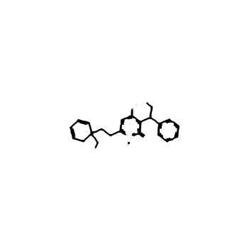 CCC(c1ccccc1)c1c(O)cc(CCC2(CC)C=CC=CC2)n(O)c1=O